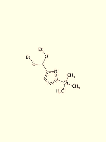 CCOC(OCC)c1cc[c]([Sn]([CH3])([CH3])[CH3])o1